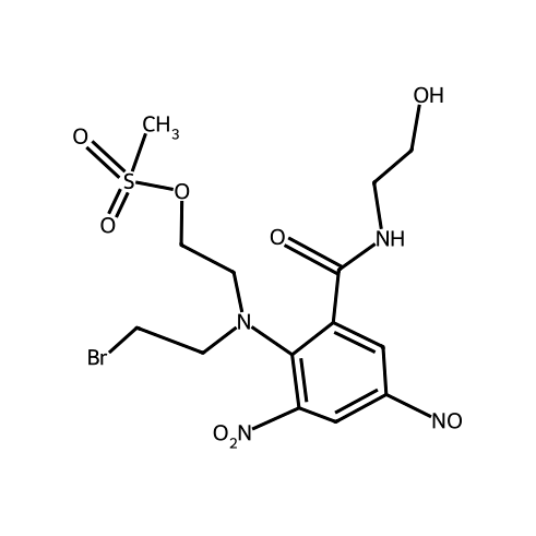 CS(=O)(=O)OCCN(CCBr)c1c(C(=O)NCCO)cc(N=O)cc1[N+](=O)[O-]